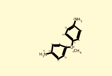 C.Nc1ccc(Oc2ccc(N)cc2)cc1